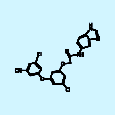 [C-]#[N+]c1cc(Cl)cc(Oc2cc(Cl)cc(OCC(=O)Nc3ccc4[nH]cnc4c3)c2)c1